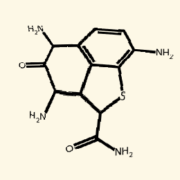 NC(=O)C1Sc2c(N)ccc3c2C1C(N)C(=O)C3N